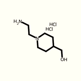 Cl.Cl.NCCN1CCC(CO)CC1